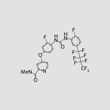 CNC(=O)c1cc(Oc2ccc(NC(=O)Nc3cc(C(F)(F)C(F)(F)C(F)(F)C(F)(F)F)ccc3F)c(F)c2)ccn1